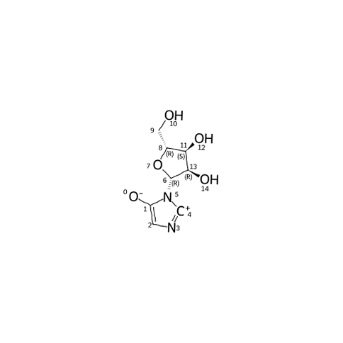 [O-]C1=CN=[C+]N1[C@@H]1O[C@H](CO)[C@@H](O)[C@H]1O